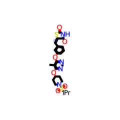 Cc1c(Oc2cccc(/C=C3/SC(=O)NC3=O)c2)ncnc1OC1CCN(S(=O)(=O)C(C)C)CC1